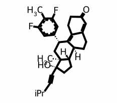 Cc1c(F)cc([C@H]2C[C@@]3(C)[C@@H](CC[C@@]3(O)C#CC(C)C)[C@@H]3CCC4=CC(=O)CCC4=C32)cc1F